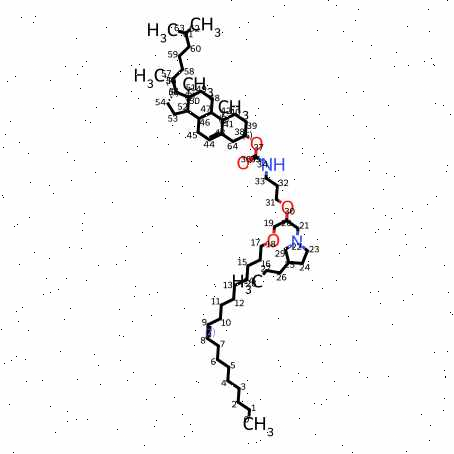 CCCCCCCC/C=C\CCCCCCCCOCC(CN1CCC(CCC)C1)OCCCNC(=O)O[C@H]1CC[C@@]2(C)C(=CCC3C2CC[C@@]2(C)C3CC[C@@H]2[C@H](C)CCCC(C)C)C1